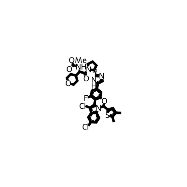 COC(=O)N[C@@H](C(=O)N1CCC[C@H]1c1ncc(-c2cc(F)c3c(c2)OC(c2cc(C)c(C)s2)n2c-3c(Cl)c3cc(Cl)ccc32)[nH]1)C1CCOCC1